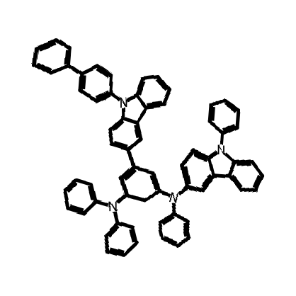 C1=C(c2ccc3c(c2)c2ccccc2n3-c2ccc(-c3ccccc3)cc2)C=C(N(c2ccccc2)c2ccc3c(c2)c2ccccc2n3-c2ccccc2)CC1N(c1ccccc1)c1ccccc1